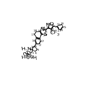 NC1(COP(=O)(O)O)CCC(c2ccc3c(c2)CCc2nc(-c4noc(-c5ccccc5)c4C(F)(F)F)sc2-3)C1